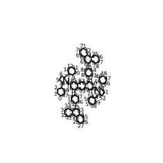 c1ccc(-c2ccc(-c3ccccc3)n2-c2cc(-c3ccc(-c4cc5ccccc5c5ccccc45)cc3)c3cc4cc(-n5c(-c6ccccc6)ccc5-c5ccccc5)cc(-c5ccc(-c6cc7ccccc7c7ccccc67)cc5)c4cc3c2)cc1